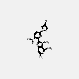 CC[S+]([O-])c1ccc(-n2cc(Cl)cn2)nc1-c1nc2cc(C(F)(F)F)nc(C)c2n1C